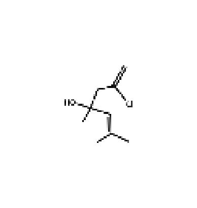 C=C(Cl)CC(C)(O)C=C(C)C